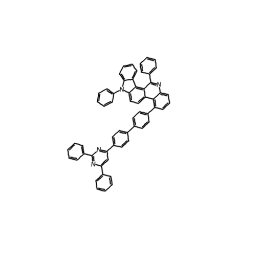 c1ccc(-c2cc(-c3ccc(-c4ccc(-c5cccc6nc(-c7ccccc7)c7c(ccc8c7c7ccccc7n8-c7ccccc7)c56)cc4)cc3)nc(-c3ccccc3)n2)cc1